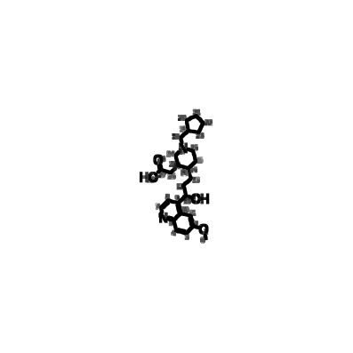 COc1ccc2nccc([C@H](O)CC[C@@H]3CCN(CC4CCCC4)C[C@@H]3CC(=O)O)c2c1